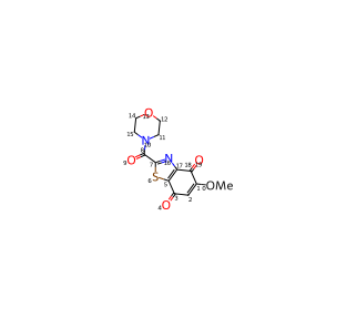 COC1=CC(=O)c2sc(C(=O)N3CCOCC3)nc2C1=O